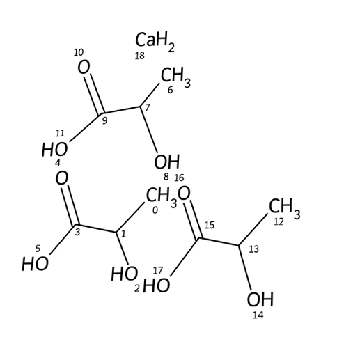 CC(O)C(=O)O.CC(O)C(=O)O.CC(O)C(=O)O.[CaH2]